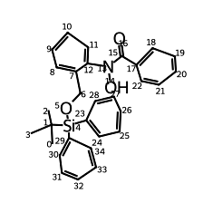 CC(C)(C)[Si](OCc1ccccc1N(O)C(=O)c1ccccc1)(c1ccccc1)c1ccccc1